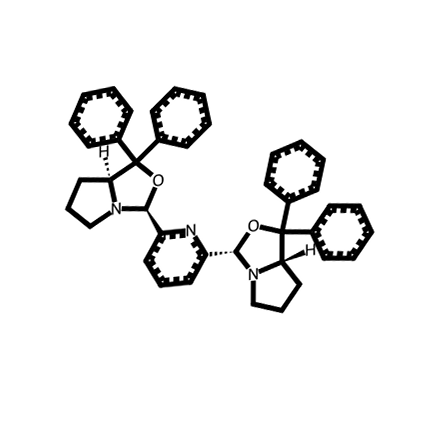 c1ccc(C2(c3ccccc3)O[C@@H](c3cccc([C@@H]4OC(c5ccccc5)(c5ccccc5)[C@@H]5CCCN54)n3)N3CCC[C@H]32)cc1